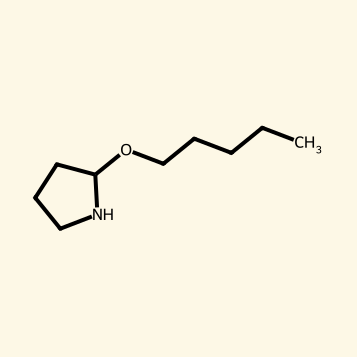 CCCCCOC1CCCN1